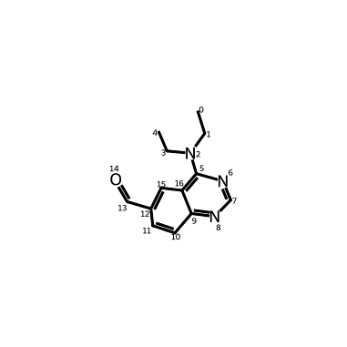 CCN(CC)c1ncnc2ccc(C=O)cc12